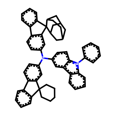 c1ccc(-n2c3ccccc3c3cc(N(c4ccc5c(c4)C4(CCCCC4)c4ccccc4-5)c4ccc5c(c4)C4(c6ccccc6-5)C5CCC6CC(C5)CC4C6)ccc32)cc1